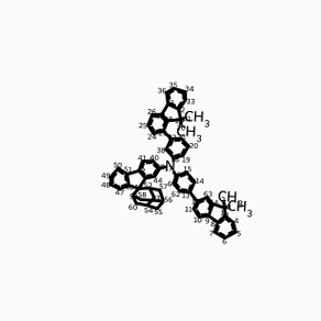 CC1(C)c2ccccc2-c2ccc(-c3ccc(N(c4cccc(-c5cccc6c5C(C)(C)c5ccccc5-6)c4)c4ccc5c(c4)C4(c6ccccc6-5)C5CC6CC(C5)CC4C6)cc3)cc21